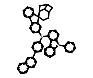 c1ccc(-n2c3ccccc3c3c(N(c4ccc(-c5ccc6ccccc6c5)cc4)c4ccc5c(c4)C4(CCC6CC7CC4C67)c4ccccc4-5)cccc32)cc1